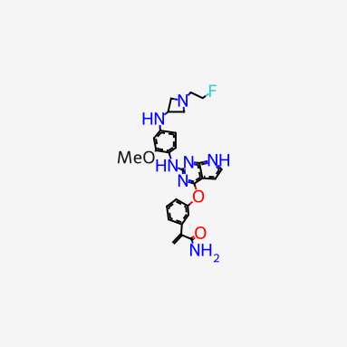 C=C(C(N)=O)c1cccc(Oc2nc(Nc3ccc(NC4CN(CCF)C4)cc3OC)nc3[nH]ccc23)c1